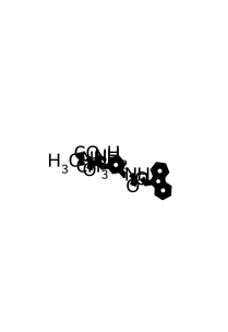 CC(C)(NC(=O)C(N)Cc1cccc(CNC(=O)OCC2c3ccccc3-c3ccccc32)c1)C(=O)O